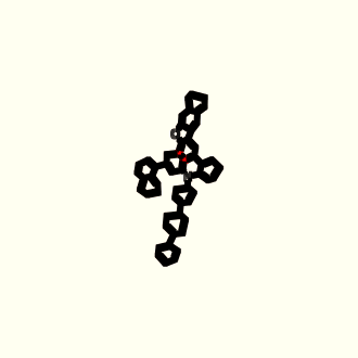 c1ccc(-c2ccc(-c3ccc(N(c4cccc(-c5cccc6ccccc56)c4)c4ccccc4-c4ccc5oc6cc7ccccc7cc6c5c4)cc3)cc2)cc1